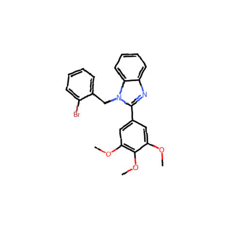 COc1cc(-c2nc3ccccc3n2Cc2ccccc2Br)cc(OC)c1OC